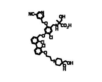 CC(CO)(NCc1cc(Cl)c(OCc2cccc(-c3cccc(OCCCN4CCC(O)(CO)CC4)c3Cl)c2Cl)cc1OCc1cncc(C#N)c1)C(=O)O